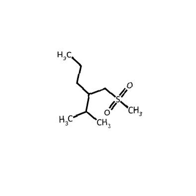 CCCC(CS(C)(=O)=O)C(C)C